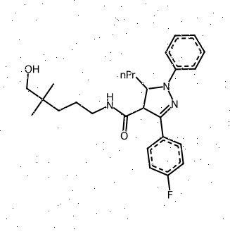 CCCC1C(C(=O)NCCCC(C)(C)CO)C(c2ccc(F)cc2)=NN1c1ccccc1